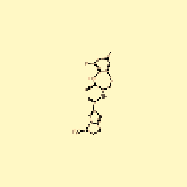 Cc1cc(F)c2c(c1)OC[C@H](NC(=O)c1nc3n(n1)[C@H](C(F)(F)F)CC3)C(=O)N2